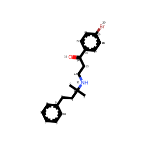 CC(C)(CCc1ccccc1)NCCC(=O)c1ccc(Br)cc1